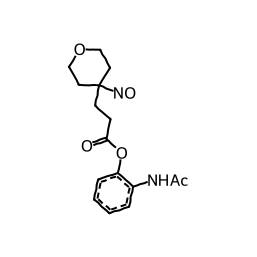 CC(=O)Nc1ccccc1OC(=O)CCC1(N=O)CCOCC1